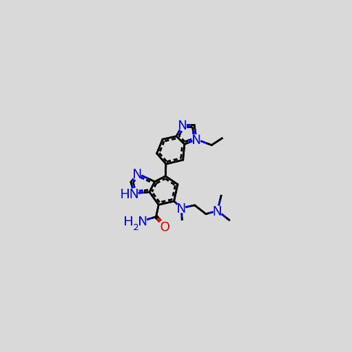 CCn1cnc2ccc(-c3cc(N(C)CCN(C)C)c(C(N)=O)c4[nH]cnc34)cc21